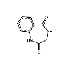 O=C1CNC(=O)c2ccccc2N1